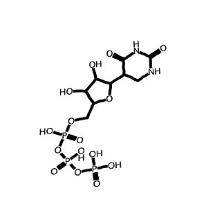 O=C1NCC(C2OC(COP(=O)(O)OP(=O)(O)OP(=O)(O)O)C(O)C2O)C(=O)N1